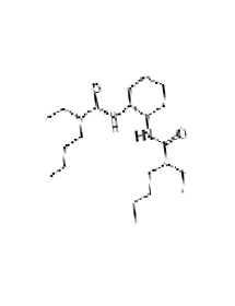 CCCCC(CC)C(=O)NC1CCCCC1NC(=O)C(CC)CCCC